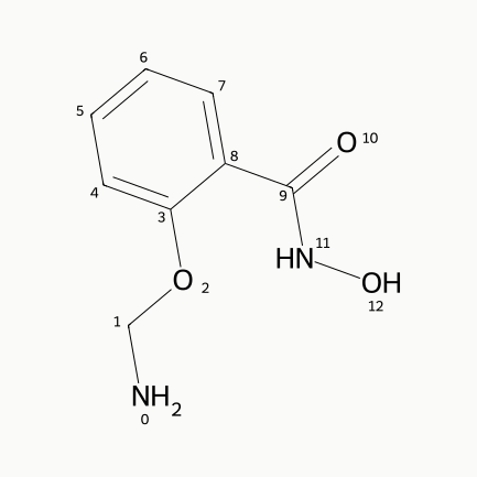 NCOc1ccccc1C(=O)NO